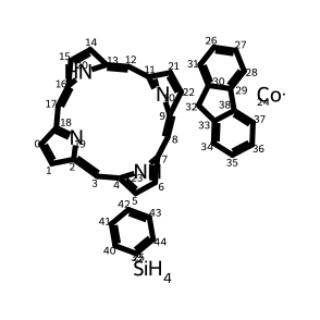 C1=Cc2cc3ccc(cc4nc(cc5ccc(cc1n2)[nH]5)C=C4)[nH]3.[Co].[SiH4].c1ccc2c(c1)Cc1ccccc1-2.c1ccccc1